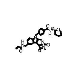 C=CC(=O)NCc1ccc2c(c1)c1c(n2Cc2ccc(C(=O)NOC3CCCCO3)cc2)CN2CC1C(=O)N(C)C2=O